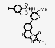 COc1ncc(-c2ccc3ncc4nn(C)c(=O)n4c3c2)cc1NS(=O)(=O)c1ccc(F)cc1F